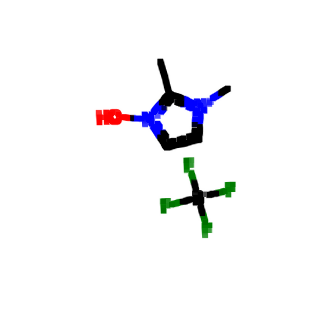 Cc1n(O)cc[n+]1C.F[B-](F)(F)F